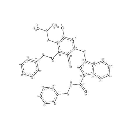 CC(C)Cc1c(Cl)nc(Cc2cn(C(=O)OCc3ccccc3)c3ccccc23)c(=O)n1OCc1ccccc1